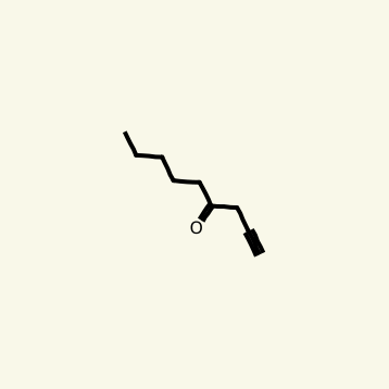 C#CCC(=O)CCCCC